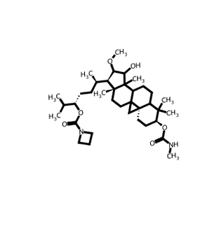 CNC(=O)O[C@H]1CC[C@]23CC24CC[C@]2(C)[C@@H]([C@H](C)CC[C@H](OC(=O)N5CCC5)C(C)C)C(OC)C(O)C2(C)C4CCC3C1(C)C